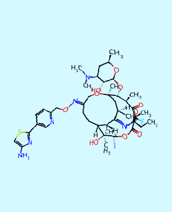 CCC(=O)/N=C1\[C@H](C)C[C@@]2(C)OC/C(=N/OCc3ccc(-c4nc(N)cs4)cn3)CC[C@H]([C@H]1C)[C@](C)(O)[C@@H](I)OC(=O)[C@@](C)(F)C(=O)[C@H](C)[C@H]2O[C@@H]1O[C@H](C)C[C@H](N(C)C)[C@H]1O